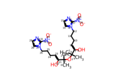 CC(C)(OC(C)(C)C(O)=CCCCn1ccnc1[N+](=O)[O-])C(O)=CCCCn1ccnc1[N+](=O)[O-]